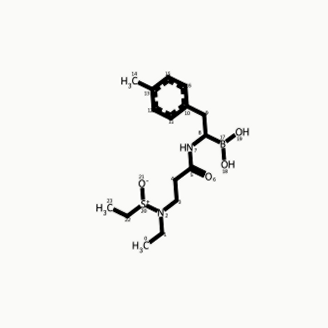 CCN(CCC(=O)NC(Cc1ccc(C)cc1)B(O)O)[S+]([O-])CC